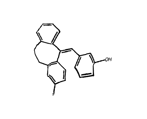 Oc1cccc(/C=C2/c3ccccc3CCc3cc(F)ccc32)c1